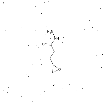 NNC(=O)CCC1CO1